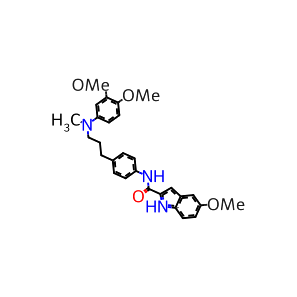 COc1ccc2[nH]c(C(=O)Nc3ccc(CCCN(C)c4ccc(OC)c(OC)c4)cc3)cc2c1